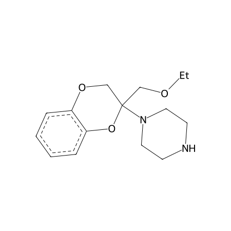 CCOCC1(N2CCNCC2)COc2ccccc2O1